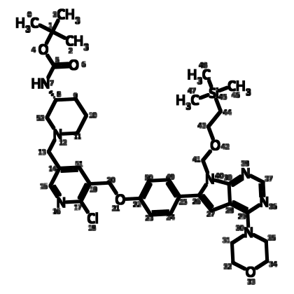 CC(C)(C)OC(=O)N[C@@H]1CCCN(Cc2cnc(Cl)c(COc3ccc(-c4cc5c(N6CCOCC6)ncnc5n4COCC[Si](C)(C)C)cc3)c2)C1